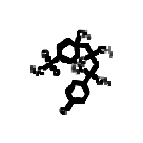 CC(C)(CC1(C)C=CC(S(C)(=O)=O)=CC1)CC(C)(C)c1ccc(Cl)cc1